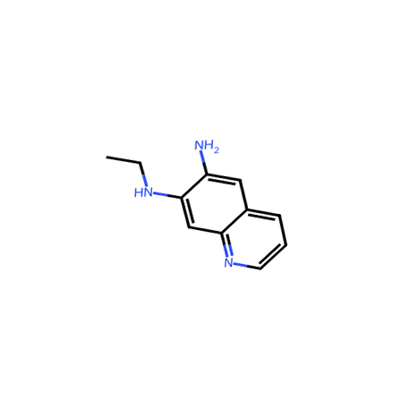 CCNc1cc2ncccc2cc1N